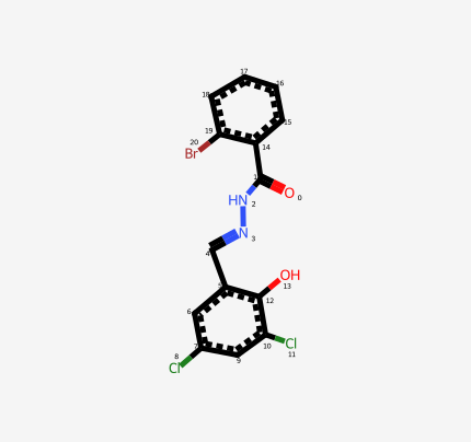 O=C(NN=Cc1cc(Cl)cc(Cl)c1O)c1ccccc1Br